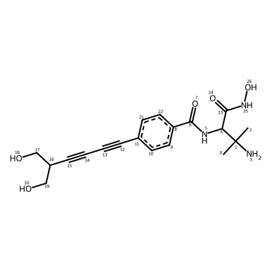 CC(C)(N)C(NC(=O)c1ccc(C#CC#CC(CO)CO)cc1)C(=O)NO